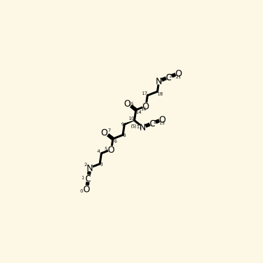 O=C=NCCOC(=O)CC[C@H](N=C=O)C(=O)OCCN=C=O